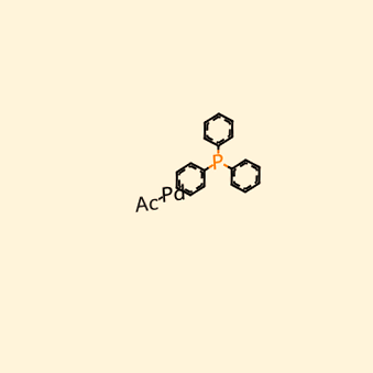 C[C](=O)[Pd].c1ccc(P(c2ccccc2)c2ccccc2)cc1